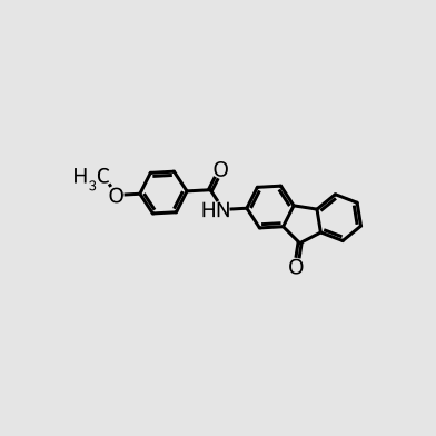 COc1ccc(C(=O)Nc2ccc3c(c2)C(=O)c2ccccc2-3)cc1